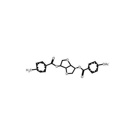 CC(=O)Oc1ccc(C(=O)O[C@H]2COC3C(OC(=O)c4ccc(C)cc4)COC32)cc1